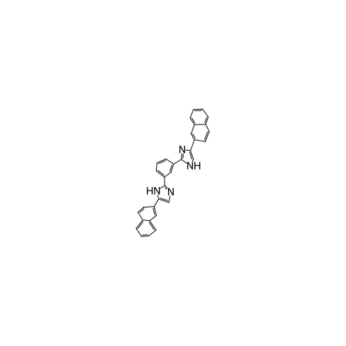 c1cc(-c2nc(-c3ccc4ccccc4c3)c[nH]2)cc(-c2ncc(-c3ccc4ccccc4c3)[nH]2)c1